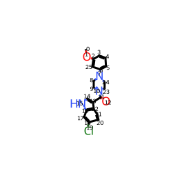 COc1cccc(N2CCN(C(=O)c3c[nH]c4cc(Cl)ccc34)CC2)c1